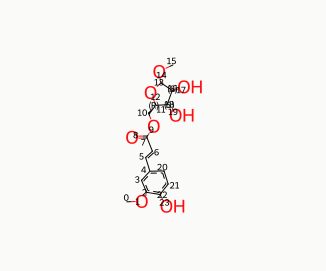 COc1cc(C=CC(=O)OC[C@H]2OC(OC)[C@@H](O)[C@@H]2O)ccc1O